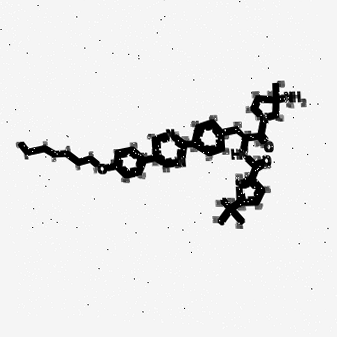 CCCCCCCOc1ccc(-c2cnc(-c3ccc(C[C@H](NC(=O)c4ccc(C(C)(C)C)s4)C(=O)N4CCC(C)(N)C4)cc3)nc2)cc1